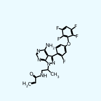 C=CC(=O)NCC(C)n1nc(-c2ccc(Oc3c(F)c(F)cc(F)c3F)cc2F)c2c(N)ncnc21